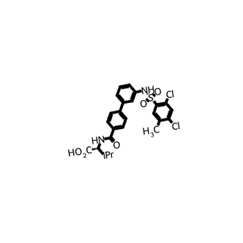 Cc1cc(S(=O)(=O)Nc2cccc(-c3ccc(C(=O)N[C@H](C(=O)O)C(C)C)cc3)c2)c(Cl)cc1Cl